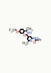 Cc1cc(C(=O)NC(C)c2ccc(OCC(F)(F)F)cc2)cc(NC(=O)C(C)C)n1